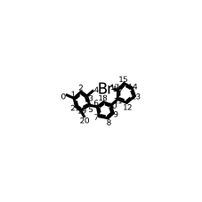 Cc1cc(C)c(-c2cccc(-c3ccccc3Br)c2)c(C)c1